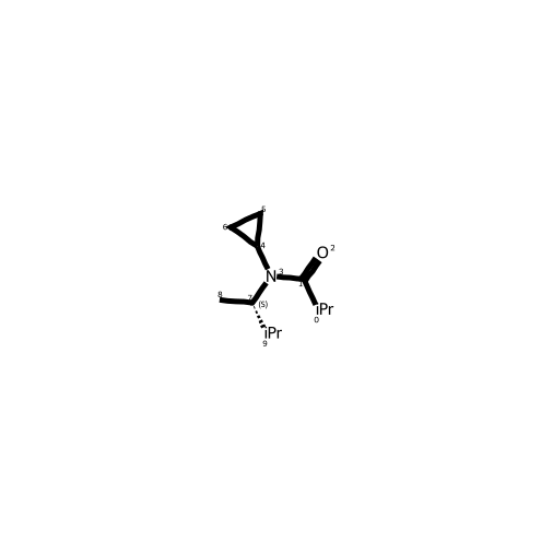 CC(C)C(=O)N(C1CC1)[C@@H](C)C(C)C